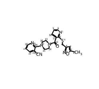 Cc1cc(CSc2ncccc2C(=O)N2CCN(c3ncccc3C#N)CC2)no1